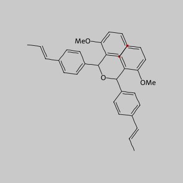 CC=Cc1ccc(C(OC(c2ccc(C=CC)cc2)c2ccccc2OC)c2ccccc2OC)cc1